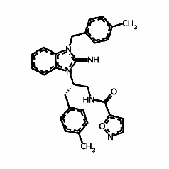 Cc1ccc(C[C@@H](CNC(=O)c2ccno2)n2c(=N)n(Cc3ccc(C)cc3)c3ccccc32)cc1